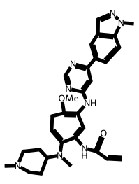 C=CC(=O)NC1=CC(Nc2cc(-c3ccc4c(cnn4C)c3)ncn2)=C(OC)CC=C1N(C)C1CCN(C)CC1